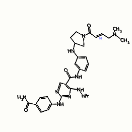 CCCNc1nc(Nc2ccc(C(N)=O)cc2)ncc1C(=O)Nc1cccc(NC2CCN(C(=O)/C=C/CN(C)C)C2)c1